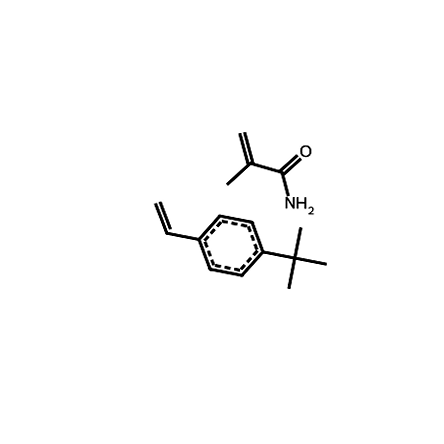 C=C(C)C(N)=O.C=Cc1ccc(C(C)(C)C)cc1